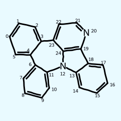 c1ccc2c(c1)-c1ccccc1-n1c3ccccc3c3nccc-2c31